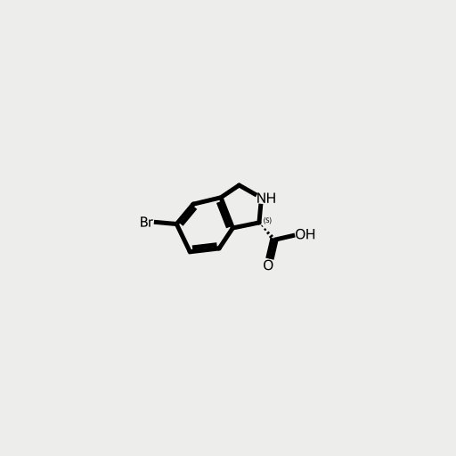 O=C(O)[C@H]1NCc2cc(Br)ccc21